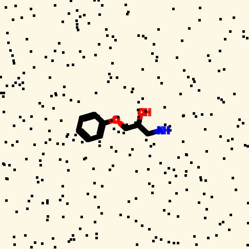 [NH]CC(O)COc1ccccc1